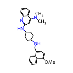 COc1ccc(CNC2CCC(Nc3cc(N(C)C)c4ccccc4n3)CC2)c2ccccc12